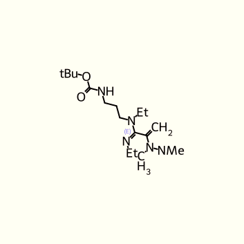 C=C(/C(=N\CC)N(CC)CCCNC(=O)OC(C)(C)C)N(C)NC